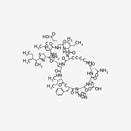 CC[C@H](C)C(NC(=O)[C@@H](CCC(=O)O)NC(=O)[C@H](CC(C)C)NC(=O)[C@@H]1CSC([C@@H](C)[C@@H](C)CC)=N1)C(=O)NC1CCCCNC(=O)[C@H](CC(N)=O)NC(=O)[C@@H](CC(=O)O)NC(=O)[C@H](c2cnc[nH]2)NC(=O)[C@@H](Cc2ccccc2)CC(=O)[C@H]([C@@H](C)CC)NC(=O)[C@@H](CCCN)NC1=O